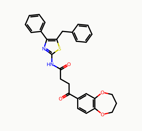 O=C(CCC(=O)c1ccc2c(c1)OCCCO2)Nc1nc(-c2ccccc2)c(Cc2ccccc2)s1